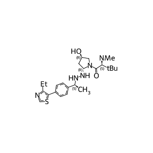 CCc1ncsc1-c1ccc([C@H](C)NN[C@@H]2C[C@@H](O)CN2C(=O)[C@@H](NC)C(C)(C)C)cc1